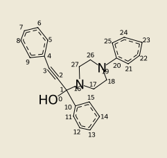 OC(C#Cc1ccccc1)(c1ccccc1)N1CCN(c2ccccc2)CC1